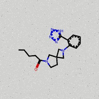 CCCCC(=O)N1CCC2(C1)CN(c1ccccc1-c1nnn[nH]1)C2